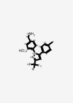 Cc1ccc(-c2cc(C(F)(F)F)nn2-c2ccc(CN)cc2)cc1.Cl